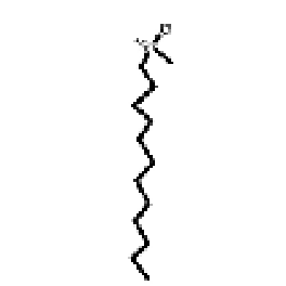 CCCCCCCCCCC[CH2][Sn]([CH3])([CH3])[Cl]